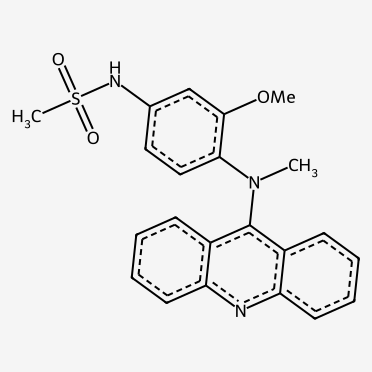 COc1cc(NS(C)(=O)=O)ccc1N(C)c1c2ccccc2nc2ccccc12